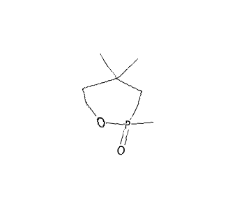 CC1(C)COP(C)(=O)C1